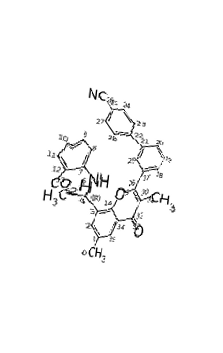 Cc1cc([C@@H](C)Nc2ccccc2C(=O)O)c2oc(-c3cccc(-c4ccc(C#N)cc4)c3)c(C)c(=O)c2c1